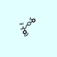 COc1ccccc1N1CCN(CCN(C(C)=O)c2ccc3c(c2)OCO3)CC1.Cl